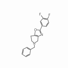 Fc1ccc(-c2nc3c(o2)CCN(Cc2ccccc2)C3)cc1F